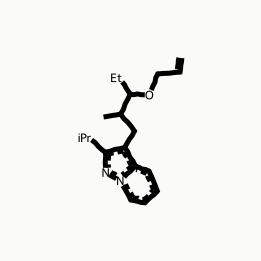 C=CCOC(CC)C(C)Cc1c(C(C)C)nn2ccccc12